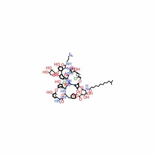 CN[C@H]1C(=O)NC2Cc3ccc(cc3)Oc3cc4cc(c3O[C@@H]3O[C@H](C(=O)O)C(O)[C@H](O)C3NC(=O)CCCCCCCCCC(C)C)Oc3ccc(cc3Cl)[C@@H](O)[C@@H]3NC(=O)[C@H](NC(=O)C4NC(=O)[C@H](NC2=O)c2cc(cc(O)c2Cl)Oc2cc1ccc2O)c1ccc(O)c(c1)-c1c(OC2C[C@@H](O)C(O)CO2)cc(O)cc1C(C(=O)NCCCN(C)C)NC3=O